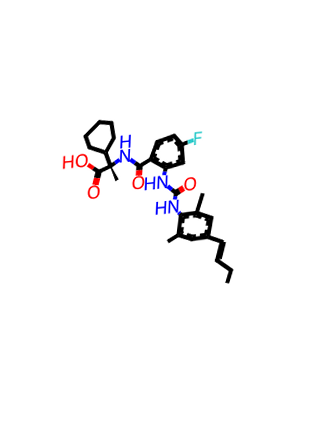 CCC=Cc1cc(C)c(NC(=O)Nc2cc(F)ccc2C(=O)N[C@](C)(C(=O)O)C2CCCCC2)c(C)c1